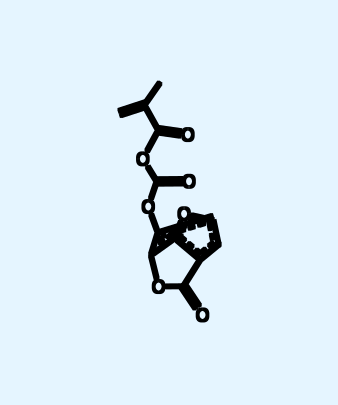 C=C(C)C(=O)OC(=O)Oc1c2c3oc1cc3C(=O)O2